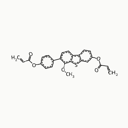 C=CC(=O)Oc1ccc(-c2ccc3c(sc4cc(OC(=O)C=C)ccc43)c2OC)cc1